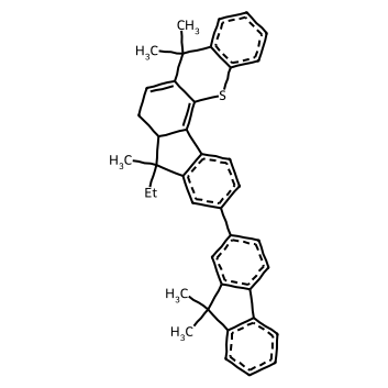 CCC1(C)c2cc(-c3ccc4c(c3)C(C)(C)c3ccccc3-4)ccc2C2=C3Sc4ccccc4C(C)(C)C3=CCC21